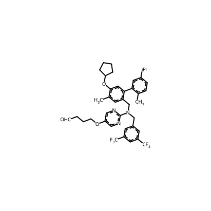 Cc1cc(CN(Cc2cc(C(F)(F)F)cc(C(F)(F)F)c2)c2ncc(OCCCC=O)cn2)c(-c2cc(C(C)C)ccc2C)cc1OC1CCCC1